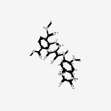 COC(=O)c1ccc(C(=O)OC)c(/N=N\C(C(C)=O)C(=O)N(C)c2cc3[nH]c(=O)c(=O)[nH]c3cc2OC)c1